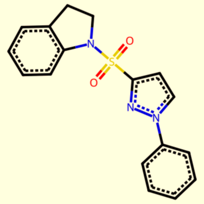 O=S(=O)(c1ccn(-c2ccccc2)n1)N1CCc2ccccc21